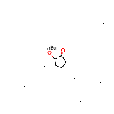 CCCCOC1CCCC1=O